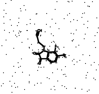 C#CCCN1C(=O)C(=O)c2ccc(Br)c(F)c21